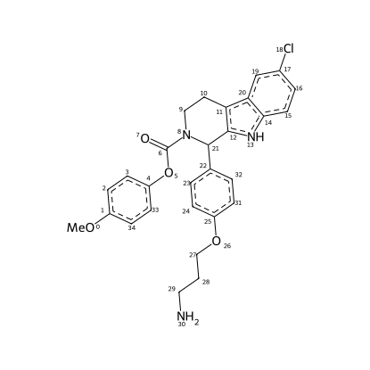 COc1ccc(OC(=O)N2CCc3c([nH]c4ccc(Cl)cc34)C2c2ccc(OCCCN)cc2)cc1